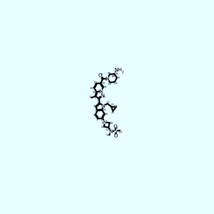 Cc1c(-c2cc3ccc(N4CC(N(C)S(C)(=O)=O)C4)cc3n2CC2CC2)nn2cc(C(=O)N3CCC[C@@H](N)C3)ccc12